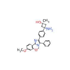 COc1ccc2c(c1)OCn1c-2nc(-c2ccc([C@]3(N)C[C@@](C)(O)C3)cc2)c1-c1ccccc1